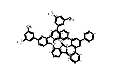 Cc1cc(C)cc(-c2ccc3c(c2)c2cc(-c4cc(C)cc(C)c4)ccc2n3-c2cccc3c2C(=O)N(c2c(-c4ccccc4)cc(-c4ccccc4)cc2-c2ccccc2)C3=O)c1